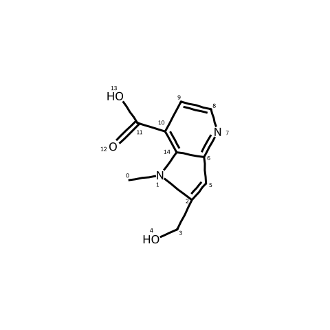 Cn1c(CO)cc2nccc(C(=O)O)c21